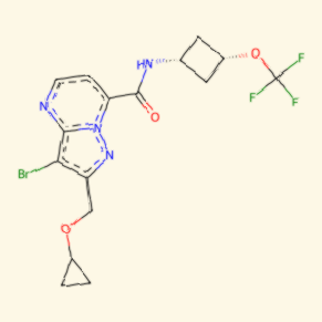 O=C(N[C@H]1C[C@@H](OC(F)(F)F)C1)c1ccnc2c(Br)c(COC3CC3)nn12